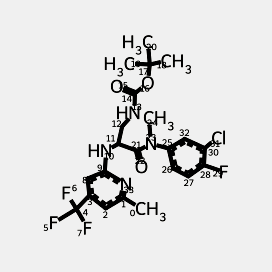 Cc1cc(C(F)(F)F)cc(NC(CNC(=O)OC(C)(C)C)C(=O)N(C)c2ccc(F)c(Cl)c2)n1